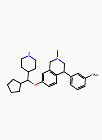 COc1cccc(C2CN(C)Cc3cc(OC(C4CCCC4)C4CCNCC4)ccc32)c1